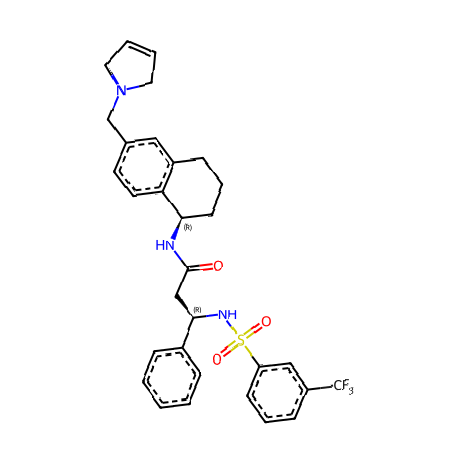 O=C(C[C@@H](NS(=O)(=O)c1cccc(C(F)(F)F)c1)c1ccccc1)N[C@@H]1CCCc2cc(CN3CC=CC3)ccc21